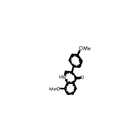 COc1ccc(-c2c[nH]c3c(OC)cccc3c2=O)cc1